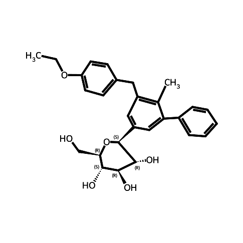 CCOc1ccc(Cc2cc([C@@H]3O[C@H](CO)[C@@H](O)[C@H](O)[C@H]3O)cc(-c3ccccc3)c2C)cc1